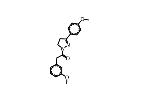 COc1ccc(C2=NN(C(=O)Cc3cccc(OC)c3)CC2)cc1